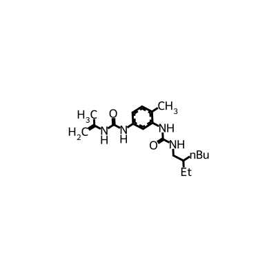 C=C(C)NC(=O)Nc1ccc(C)c(NC(=O)NCC(CC)CCCC)c1